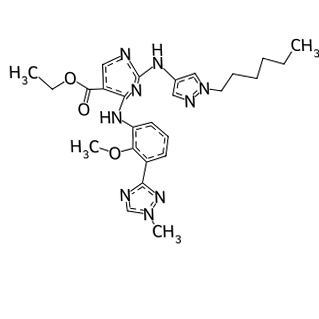 CCCCCCn1cc(Nc2ncc(C(=O)OCC)c(Nc3cccc(-c4ncn(C)n4)c3OC)n2)cn1